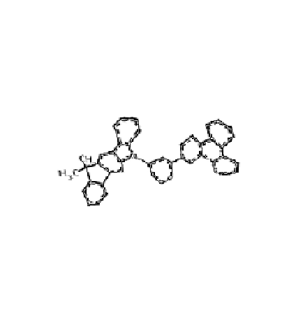 CC1(C)c2ccccc2-c2cc3c(cc21)c1ccccc1n3-c1cccc(-c2ccc3c4ccccc4c4ccccc4c3c2)c1